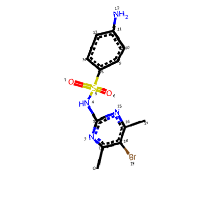 Cc1nc(NS(=O)(=O)c2ccc(N)cc2)nc(C)c1Br